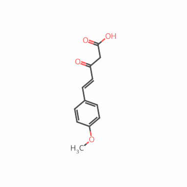 COc1ccc(/C=C/C(=O)CC(=O)O)cc1